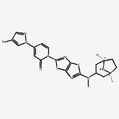 CN(c1nc2sc(-n3ccc(-n4cc(F)cn4)cc3=O)nc2s1)C1C[C@]2(C)CC[C@](C)(C1)N2